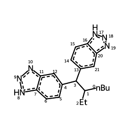 CCCCC(CC)C(c1ccc2[nH]nnc2c1)c1ccc2[nH]nnc2c1